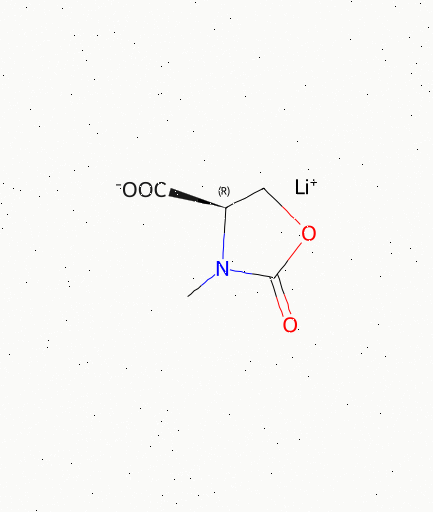 CN1C(=O)OC[C@@H]1C(=O)[O-].[Li+]